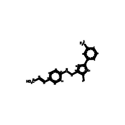 Cc1nc(-c2cccc(C(F)(F)F)c2)sc1COc1ccc(C=CC(=O)O)cc1